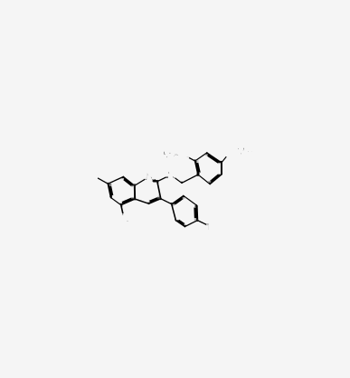 COc1ccc(CNc2nc3cc(C)cc(Br)c3cc2-c2ccc(F)cc2)c(OC)c1